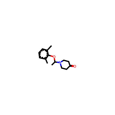 Cc1cccc(C)c1OC(C)N1CCC(=O)CC1